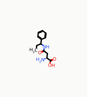 CCC(NC(=O)C[C@H](N)C(=O)O)c1ccccc1